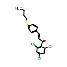 CCCCSc1ccc(/C=C/C(=O)c2c(Cl)cc(Cl)cc2Cl)cc1